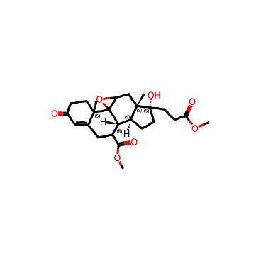 COC(=O)CC[C@@]1(O)CC[C@H]2[C@@H]3C(C(=O)OC)CC4=CC(=O)CC[C@]4(C)C34OC4C[C@@]21C